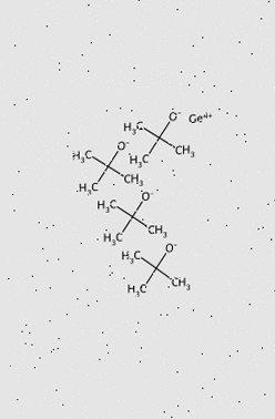 CC(C)(C)[O-].CC(C)(C)[O-].CC(C)(C)[O-].CC(C)(C)[O-].[Ge+4]